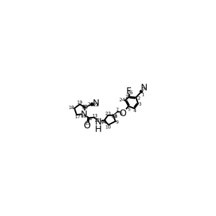 N#Cc1ccc(OC[C@H]2CC[C@@H](NCC(=O)N3CCC[C@H]3C#N)C2)cc1F